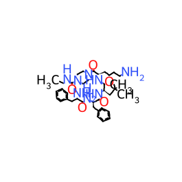 CCNC(=O)N1CCN(C(=O)[C@@H](CCCCN)NC(=O)[C@@H](CC(C)C)NC(=O)[C@@H](Cc2ccccc2)NC(=O)[C@H](N)Cc2ccccc2)CC1